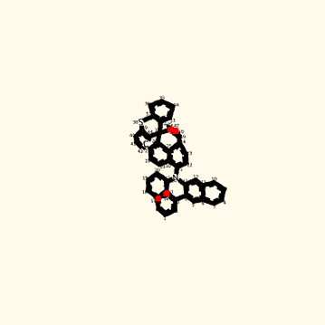 c1ccc(-c2cc3ccccc3cc2N(c2ccccc2)c2ccc3c4c(cccc24)C2(c4ccccc4Sc4ccccc42)c2ccccc2-3)cc1